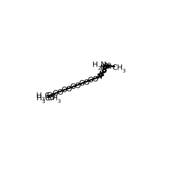 CCCCn1cc2c(n1)c(N)nc1cc(N3CCN(CCOCCOCCOCCOCCOCCOCCOCCOCCOCCOCCC(=O)OC(C)(C)C)CC3)ccc12